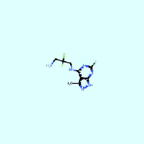 Cc1n[nH]c2nc(Cl)nc(NCC(F)(F)CN)c12